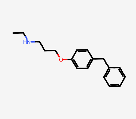 [CH2]CNCCCOc1ccc(Cc2ccccc2)cc1